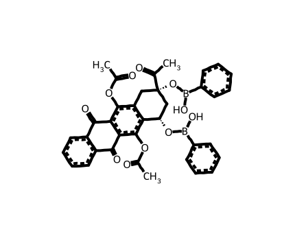 CC(=O)Oc1c2c(c(OC(C)=O)c3c1C(=O)c1ccccc1C3=O)[C@@H](OB(O)c1ccccc1)C[C@](OB(O)c1ccccc1)(C(C)=O)C2